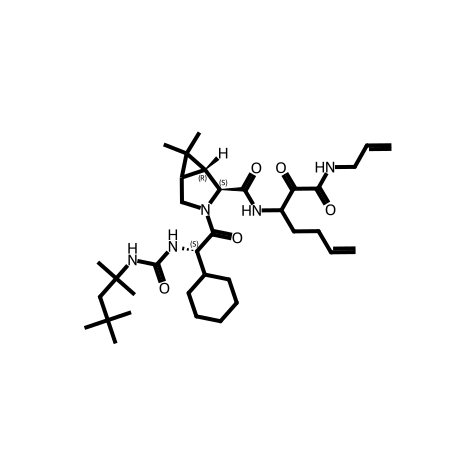 C=CCCC(NC(=O)[C@@H]1[C@@H]2C(CN1C(=O)[C@@H](NC(=O)NC(C)(C)CC(C)(C)C)C1CCCCC1)C2(C)C)C(=O)C(=O)NCC=C